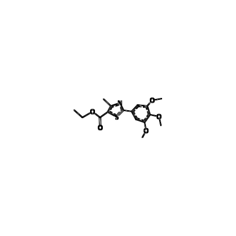 CCOC(=O)c1sc(-c2cc(OC)c(OC)c(OC)c2)nc1C